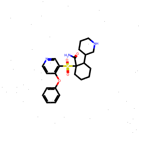 NC(=O)C1(S(=O)(=O)c2cnccc2Oc2ccccc2)CCCCC1C1CCCNC1